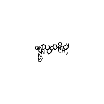 CN(C(=O)c1cccnc1)c1ccc2sc3c(-c4cccn5c(=O)cc(N6CCOCC6)nc45)cccc3c2c1